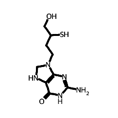 Nc1nc2c(c(=O)[nH]1)NCN2CCC(S)CO